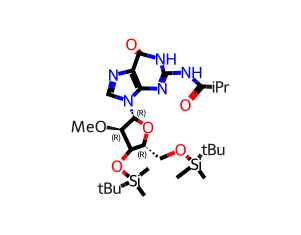 CO[C@@H]1C(O[Si](C)(C)C(C)(C)C)[C@@H](CO[Si](C)(C)C(C)(C)C)O[C@H]1n1cnc2c(=O)[nH]c(NC(=O)C(C)C)nc21